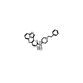 Cl.Cl.O=C(/C=C\C1=Cc2cnc3cccc(n23)S1)NC1CCN(CCc2ccccc2)CC1